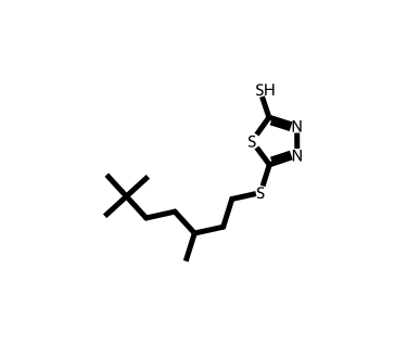 CC(CCSc1nnc(S)s1)CCC(C)(C)C